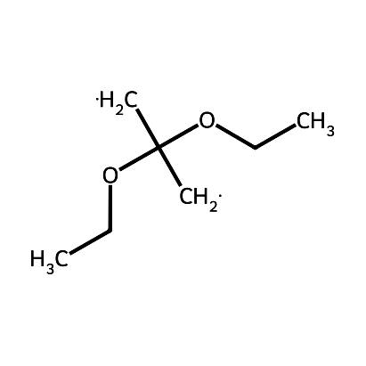 [CH2]C([CH2])(OCC)OCC